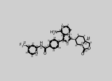 Nc1nccn2c([C@H]3CC[C@H]4COC(=O)N4C3)nc(-c3ccc(C(=O)Nc4cc(C(F)(F)F)ccn4)cc3)c12